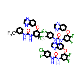 O=C(Nc1cc(F)c(F)c(Oc2ccc3nccnc3c2)c1)Nc1ccc(Cl)c(C(F)(F)F)c1.O=C(Nc1ccc(Cl)c(F)c1)Nc1cc(F)c(F)c(Oc2ccc3nccnc3c2)c1.O=C(Nc1cccc(C(F)(F)F)c1)Nc1cc(F)c(F)c(Oc2ccc3nccnc3c2)c1